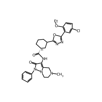 CCOc1ccc(Cl)cc1-c1nnc(C2CCC[C@@H](C(=O)Nc3c4n(n(-c5ccccc5)c3=O)CCN(C)C4)C2)o1